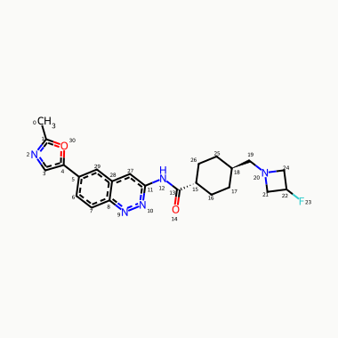 Cc1ncc(-c2ccc3nnc(NC(=O)[C@H]4CC[C@H](CN5CC(F)C5)CC4)cc3c2)o1